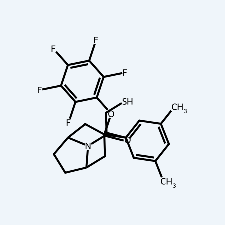 Cc1cc(C)cc(C2(Oc3c(F)c(F)c(F)c(F)c3F)CC3CCC(C2)N3C(=O)CS)c1